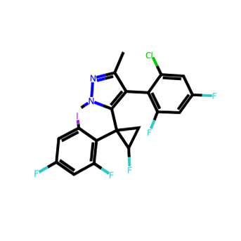 Cc1nn(C)c(C2(c3c(F)cc(F)cc3I)CC2F)c1-c1c(F)cc(F)cc1Cl